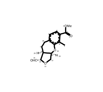 COC(=O)c1ccc2c(c1C)O[C@H]1CO[C@H](C=O)[C@H]1CC2